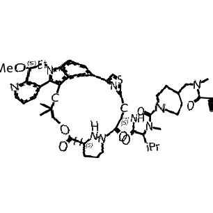 C=CC(=O)N(C)CC1CCN(C(=O)N(C)C(C(=O)N[C@H]2Cc3nc(cs3)-c3ccc4c(c3)c(c(-c3cccnc3[C@H](C)OC)n4CC)CC(C)(C)COC(=O)[C@@H]3CCCN(N3)C2=O)C(C)C)CC1